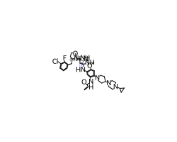 C=CC(=O)Nc1cc(N/C(=C/C(=N)N2OCC[C@@H]2Cc2cccc(Cl)c2F)NN)c(OC)cc1N1CCC(N2CCN(C3CC3)CC2)CC1